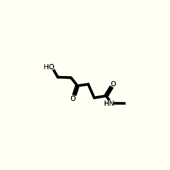 CNC(=O)CCC(=O)CCO